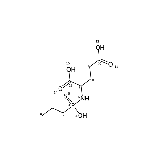 CCCP(O)(=S)NC(CCC(=O)O)C(=O)O